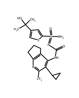 CC(C)(O)c1csc(S(N)(=O)=NC(=O)Nc2c3c(nc(C(F)(F)F)c2C2CC2)CCC3)c1